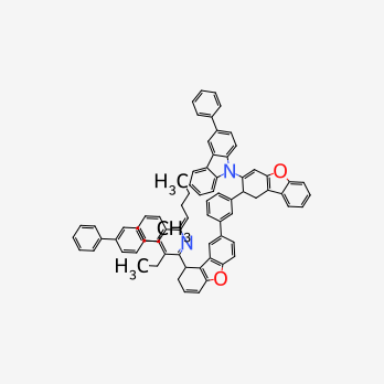 CCC/C=C(/N=C(\C(CC)=C(/C)c1ccc(-c2ccccc2)cc1)C1CC=Cc2oc3ccc(-c4cccc(C5Cc6c(oc7ccccc67)C=C5n5c6ccccc6c6cc(-c7ccccc7)ccc65)c4)cc3c21)c1ccccc1